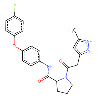 Cc1cc(CC(=O)N2CCCC2C(=O)Nc2ccc(Oc3ccc(F)cc3)cc2)n[nH]1